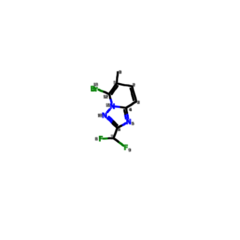 Cc1ccc2nc(C(F)F)nn2c1Br